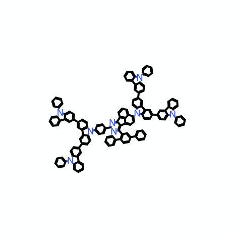 c1ccc(-c2ccc(-c3ccccc3)c(-c3nc(-c4ccc(-n5c6ccc(-c7ccc8c(c7)c7ccccc7n8-c7ccccc7)cc6c6cc(-c7ccc8c(c7)c7ccccc7n8-c7ccccc7)ccc65)cc4)nc4c3-c3ccc(-n5c6ccc(-c7ccc8c(c7)c7ccccc7n8-c7ccccc7)cc6c6cc(-c7ccc8c(c7)c7ccccc7n8-c7ccccc7)ccc65)c5cccc-4c35)c2)cc1